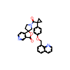 O=C1OC2(CCN(C(=O)C3(c4ccc(OCc5cccc6cccnc56)cc4)CC3)C2)c2ccncc21